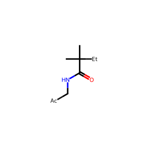 CCC(C)(C)C(=O)NCC(C)=O